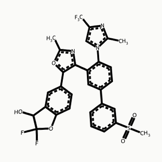 Cc1nc(-c2cc(-c3cccc(S(C)(=O)=O)c3)ccc2-n2cc(C(F)(F)F)nc2C)c(-c2ccc3c(c2)C(O)C(F)(F)O3)o1